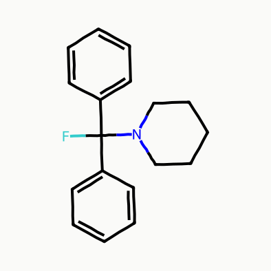 FC(c1ccccc1)(c1ccccc1)N1CCCCC1